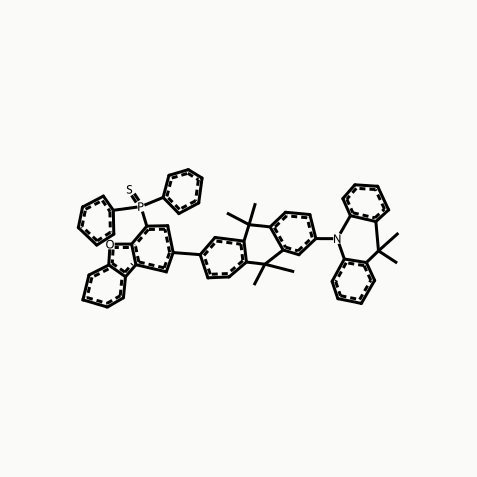 CC1(C)c2ccccc2N(c2ccc3c(c2)C(C)(C)c2ccc(-c4cc(P(=S)(c5ccccc5)c5ccccc5)c5oc6ccccc6c5c4)cc2C3(C)C)c2ccccc21